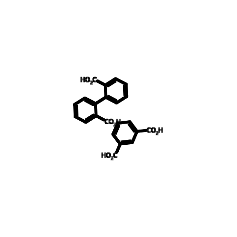 O=C(O)c1cccc(C(=O)O)c1.O=C(O)c1ccccc1-c1ccccc1C(=O)O